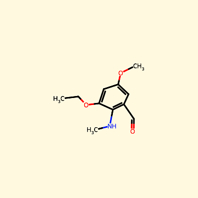 CCOc1cc(OC)cc(C=O)c1NC